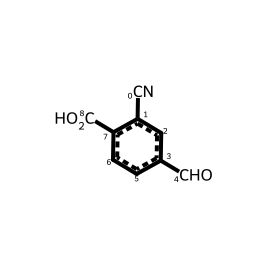 N#Cc1cc(C=O)ccc1C(=O)O